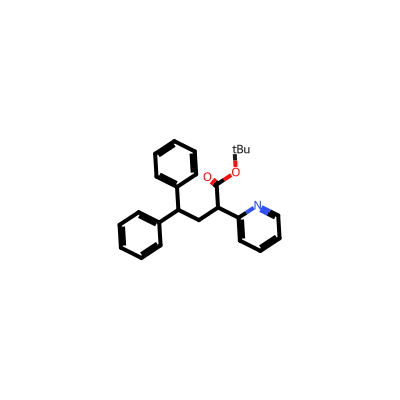 CC(C)(C)OC(=O)C(CC(c1ccccc1)c1ccccc1)c1ccccn1